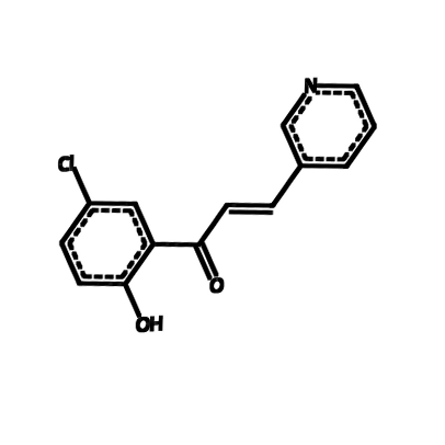 O=C(C=Cc1cccnc1)c1cc(Cl)ccc1O